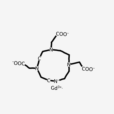 O=C([O-])CN1CC[N-]CCN(CC(=O)[O-])CCN(CC(=O)[O-])CC1.[Gd+3]